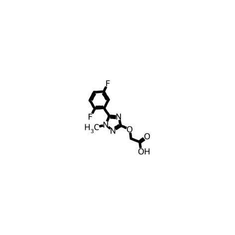 Cn1nc(OCC(=O)O)nc1-c1cc(F)ccc1F